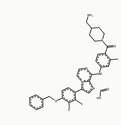 Cc1cc(Nc2nccn3c(-c4ccc(OCc5ccccc5)c(F)c4F)cnc23)ccc1C(=O)N1CCC(CN)CC1.O=CO